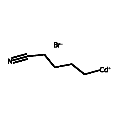 N#CCCC[CH2][Cd+].[Br-]